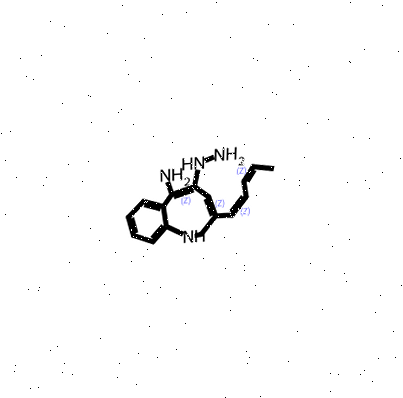 C\C=C/C=C\C1=C\C(NN)=C(\N)c2ccccc2NC1